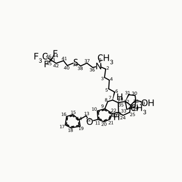 CN(CCCCC[C@@H]1Cc2cc(OCc3ccccc3)ccc2[C@H]2CC[C@]3(C)[C@]4(O)CC[C@@]3(CC4)[C@H]12)CCCSCCCC(F)(F)C(F)(F)F